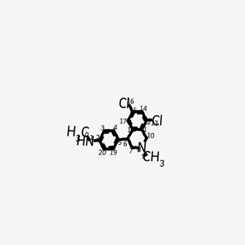 CNc1ccc(C2CN(C)Cc3c(Cl)cc(Cl)cc32)cc1